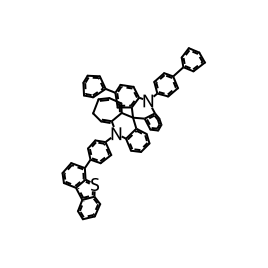 C1=CCC=C2C(=C1)C1(c3ccccc3N2c2ccc(-c3cccc4c3sc3ccccc34)cc2)c2ccccc2N(c2ccc(-c3ccccc3)cc2)c2ccc(-c3ccccc3)cc21